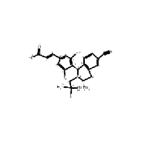 C[C@H]1Cc2cc(C#N)ccc2[C@H](c2c(F)cc(/C=C/C(=O)O)cc2F)N1CC(C)(C)F